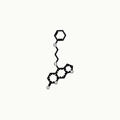 O=c1ccc2c(OCCCOC3=CCCC=C3)c3ccoc3cc2o1